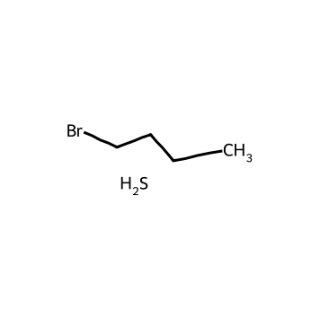 CCCCBr.S